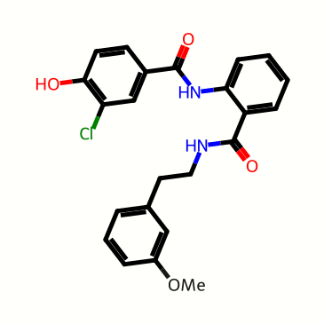 COc1cccc(CCNC(=O)c2ccccc2NC(=O)c2ccc(O)c(Cl)c2)c1